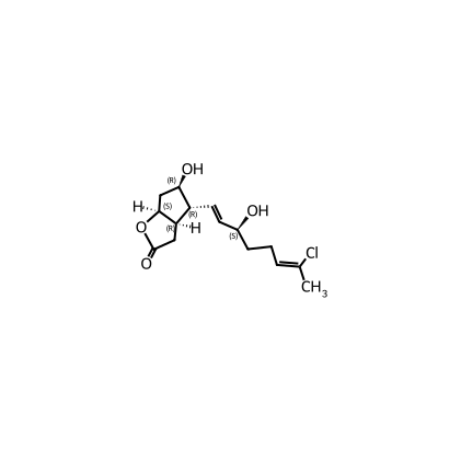 CC(Cl)=CCC[C@H](O)C=C[C@@H]1[C@H]2CC(=O)O[C@H]2C[C@H]1O